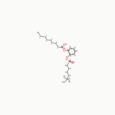 CCCCCCCCC(=O)Oc1ccccc1OC(=O)CCCCC(C)(C)C